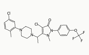 Cc1ccc(Cl)cc1N1CCN(C(C)c2c(Cl)c(=O)n(-c3ccc(OC(F)(F)F)cc3)n2C)CC1